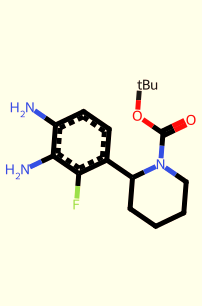 CC(C)(C)OC(=O)N1CCCCC1c1ccc(N)c(N)c1F